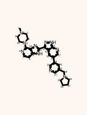 CN1CCN(c2nccc3[nH]c(-c4n[nH]c5ncc(-c6cncc(CN7CCCC7)c6)cc45)nc23)CC1